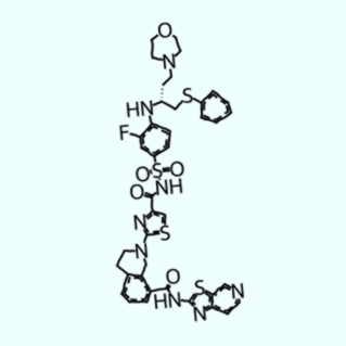 O=C(NS(=O)(=O)c1ccc(N[C@H](CCN2CCOCC2)CSc2ccccc2)c(F)c1)c1csc(N2CCc3cccc(C(=O)Nc4nc5ccncc5s4)c3C2)n1